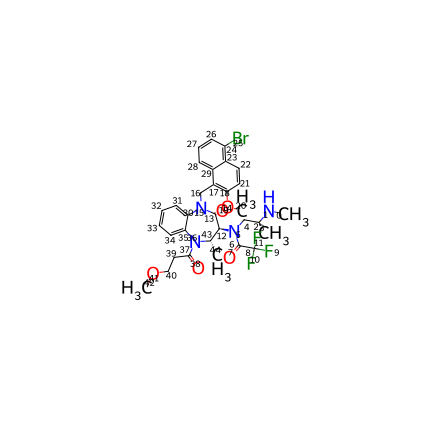 CN[C@@H](C)CN(C(=O)C(F)(F)F)[C@@H]1C(=O)N(Cc2c(OC)ccc3c(Br)cccc23)c2ccccc2N(C(=O)CCOC)[C@H]1C